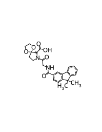 CC1(C)c2ccccc2-c2cc(C(=O)NCC(=O)N3CCC4(OCCO4)[C@H]3C(=O)O)ccc21